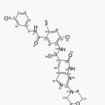 O=C(NCc1cccc(Cl)c1)c1cc(NC(=O)c2cc3cnc(N4CCOCC4)nc3[nH]c2=O)c(Cl)cc1F